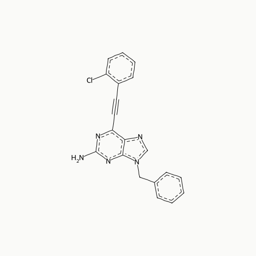 Nc1nc(C#Cc2ccccc2Cl)c2ncn(Cc3ccccc3)c2n1